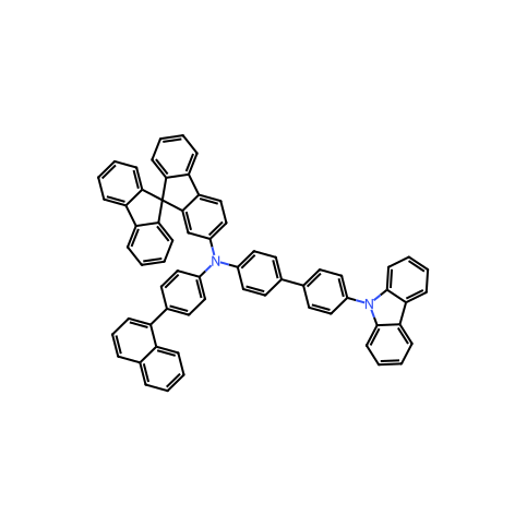 c1ccc2c(c1)-c1ccccc1C21c2ccccc2-c2ccc(N(c3ccc(-c4ccc(-n5c6ccccc6c6ccccc65)cc4)cc3)c3ccc(-c4cccc5ccccc45)cc3)cc21